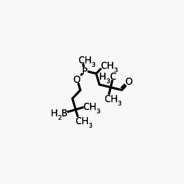 BC(C)(C)CCOP(C)C(C)CC(C)(C)C=O